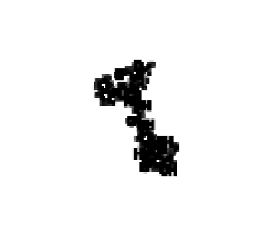 C=CC(=O)N1CCN(c2nc(NCCC(=O)NCc3ccc(N(C(=N)c4cc(C(C)C)c(O)cc4N=O)C(N)=O)cc3)nc3c2CCN(c2cccc4ccccc24)C3)C[C@H]1CC#N